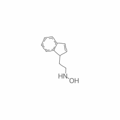 ONCCC1C=Cc2ccccc21